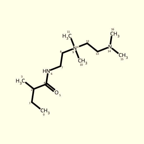 CCC(C)C(=O)NCC[N+](C)(C)CCN(C)C